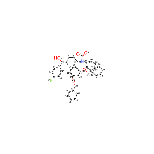 O=C1O[C@H](CC[C@H](O)c2ccc(F)cc2)[C@@H](c2ccc(OCc3ccccc3)cc2OCc2ccccc2)N1c1ccccc1